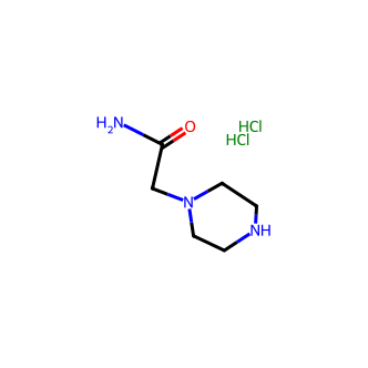 Cl.Cl.NC(=O)CN1CCNCC1